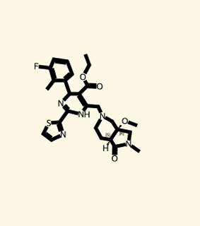 CCOC(=O)C1=C(CN2CC[C@@H]3C(=O)N(C)C[C@]3(OC)C2)NC(c2nccs2)=NC1c1cccc(F)c1C